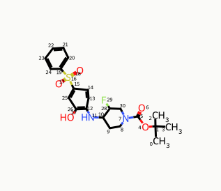 CC(C)(C)OC(=O)N1CCC(Nc2ccc(S(=O)(=O)c3ccccc3)cc2O)C(F)C1